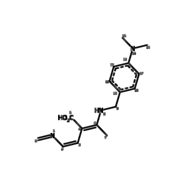 C=N/C=C\C(C(=O)O)=C(/C)NCc1ccc(N(C)C)cc1